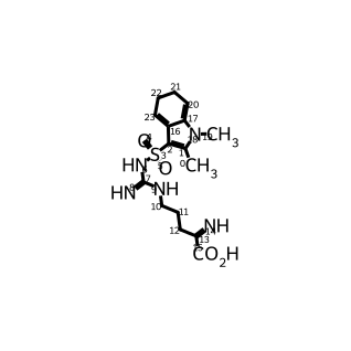 Cc1c(S(=O)(=O)NC(=N)NCCCC(=N)C(=O)O)c2c(n1C)=CCCC=2